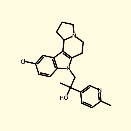 Cc1ccc(C(C)(O)Cn2c3c(c4cc(Cl)ccc42)C2CCCN2CC3)cn1